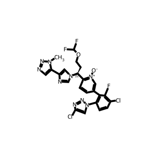 Cn1nncc1-c1cn([C@@H](CCOC(F)F)c2ccc(-c3c(-n4cc(Cl)nn4)ccc(Cl)c3F)c[n+]2[O-])cn1